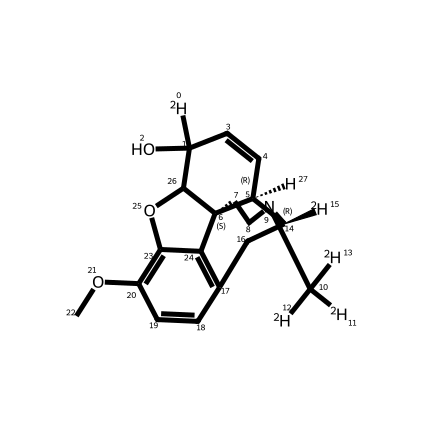 [2H]C1(O)C=C[C@@H]2[C@@]34CCN(C([2H])([2H])[2H])[C@]2([2H])Cc2ccc(OC)c(c23)OC14